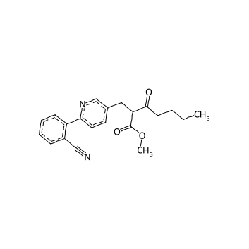 CCCCC(=O)C(Cc1ccc(-c2ccccc2C#N)nc1)C(=O)OC